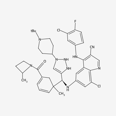 CC1CCN1C(=O)C1=CC=CC(C)([C@H](Nc2cc(Cl)c3ncc(C#N)c(Nc4ccc(F)c(Cl)c4)c3c2)C2=CN(C3CCN(C(C)(C)C)CC3)NN2)C1